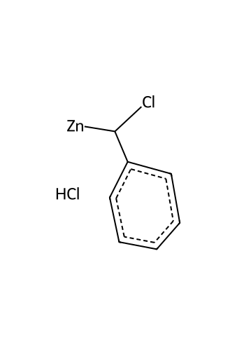 Cl.Cl[CH]([Zn])c1ccccc1